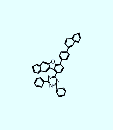 c1ccc(-c2nc(-c3ccccc3)nc(-c3ccc(-c4ccc(-c5ccc6ccccc6c5)cc4)c4oc5cc6ccccc6cc5c34)n2)cc1